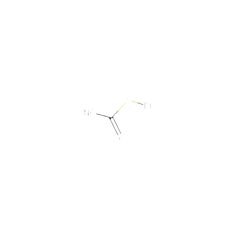 C=C(C#N)S[CH]C